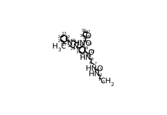 C=CCNC(=O)NCCCNC(=O)c1ccc(N2CCN(c3ccccc3C)CC2)c(NC(=O)c2ccco2)c1